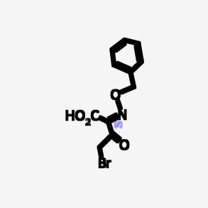 O=C(O)/C(=N\OCc1ccccc1)C(=O)CBr